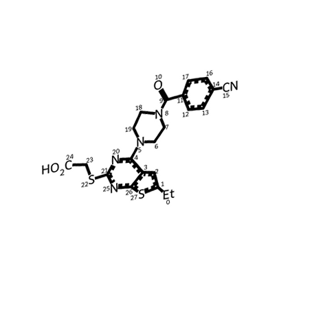 CCc1cc2c(N3CCN(C(=O)c4ccc(C#N)cc4)CC3)nc(SCC(=O)O)nc2s1